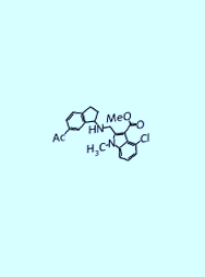 COC(=O)c1c(CNC2CCc3ccc(C(C)=O)cc32)n(C)c2cccc(Cl)c12